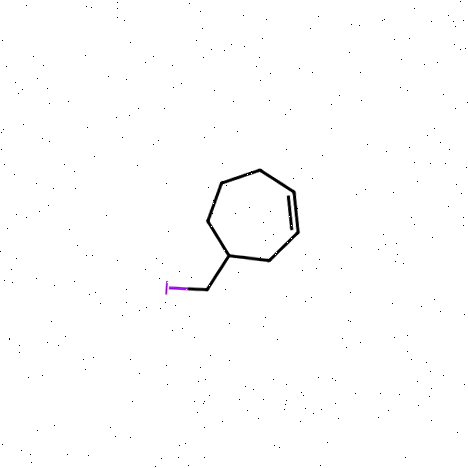 ICC1CC=CCCC1